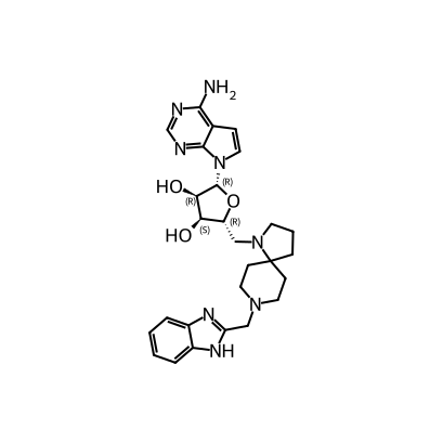 Nc1ncnc2c1ccn2[C@@H]1O[C@H](CN2CCCC23CCN(Cc2nc4ccccc4[nH]2)CC3)[C@@H](O)[C@H]1O